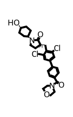 O=C(c1ccc(-c2cc(Cl)c(C[C@@H]3CCN([C@H]4CC[C@@H](O)CC4)C3=O)c(Cl)c2)cc1)N1CCOCC1